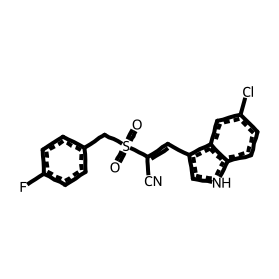 N#C/C(=C\c1c[nH]c2ccc(Cl)cc12)S(=O)(=O)Cc1ccc(F)cc1